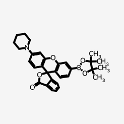 CC1(C)OB(c2ccc3c(c2)Oc2cc(N4CCCCC4)ccc2C32OC(=O)c3ccccc32)OC1(C)C